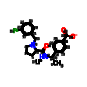 C[C@H](NC(=O)C1CCCN1Cc1cccc(F)c1)c1ccc(C(=O)[O-])cc1.[Li+]